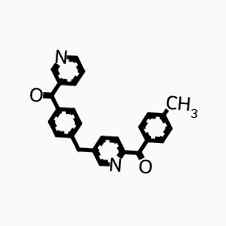 Cc1ccc(C(=O)c2ccc(Cc3ccc(C(=O)c4cccnc4)cc3)cn2)cc1